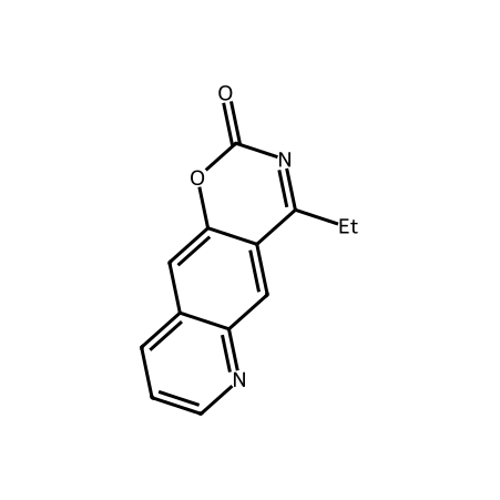 CCc1nc(=O)oc2cc3cccnc3cc12